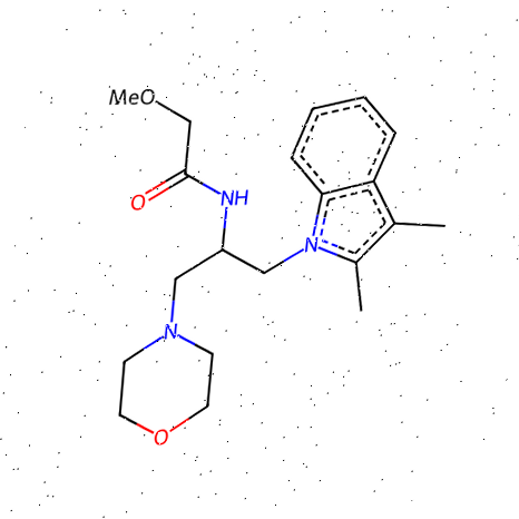 COCC(=O)NC(CN1CCOCC1)Cn1c(C)c(C)c2ccccc21